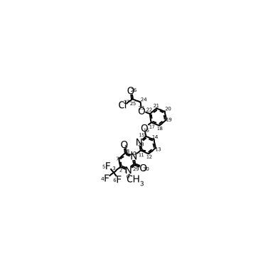 Cn1c(C(F)(F)F)cc(=O)n(-c2cccc(Oc3ccccc3OCC(=O)Cl)n2)c1=O